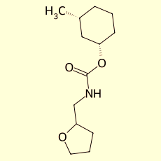 C[C@@H]1CCC[C@H](OC(=O)NCC2CCCO2)C1